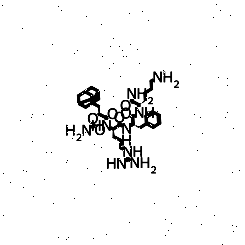 N=C(N)NCCC[C@@H](NC(=O)[C@H](CC12CC3CC(CC(C3)C1)C2)OC(N)=O)C(=O)N[C@@H](Cc1ccccc1)C(=O)N[C@@H](CCCCN)C(N)=O